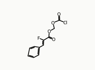 O=C(Cl)OCOC(=O)/C(F)=C/c1ccccc1